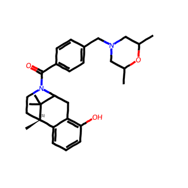 CC1CN(Cc2ccc(C(=O)N3CC[C@@]4(C)c5cccc(O)c5CC3C4(C)C)cc2)CC(C)O1